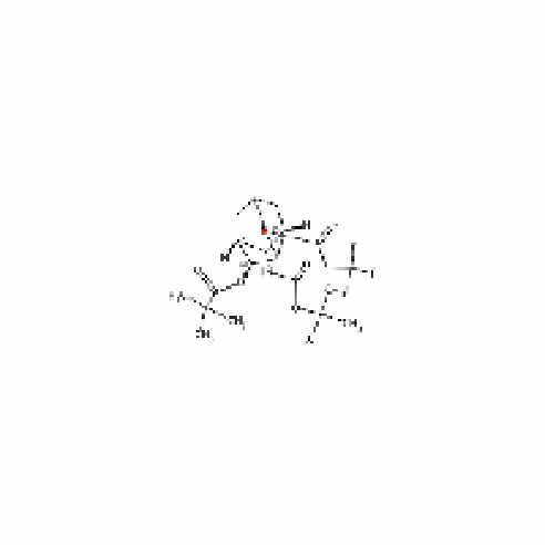 CC(C)(C)OC(=O)NC1[C@@H]2CC3C[C@H]1[C@H](OC(=O)C(C)(C)C)C2N(C(=O)CC(F)(F)F)C3